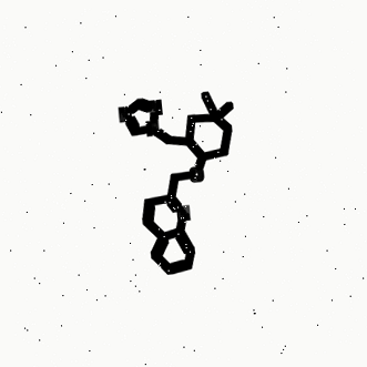 CC1(C)CCC(OCc2ccc3ccccc3n2)C(Cn2cncn2)C1